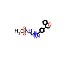 CS(=O)(=O)NCCCn1nnc(-c2ccc(C3=CCOc4ccccc43)cc2)n1